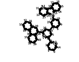 c1ccc(-c2cc(-c3cccc(-n4c5ccccc5c5ncccc54)c3)cc(-c3cc4ccccc4c4ccccc34)n2)nc1